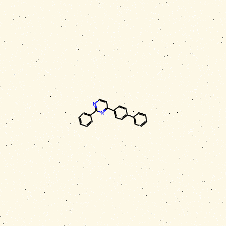 c1ccc(-c2ccc(-c3ccnc(-c4ccccc4)n3)cc2)cc1